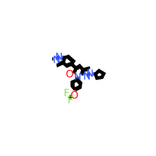 Cn1cc2cc(-c3cc4cn(C5CCCC5)nc4n(-c4ccc(OC(F)F)cc4)c3=O)ccc2n1